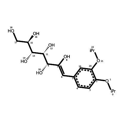 CC(C)Oc1ccc(C=C(O)[C@H](O)[C@@H](O)[C@H](O)[C@H](O)CO)cc1OC(C)C